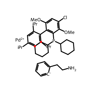 COc1cc(Cl)c(OC)c(P(C2CCCCC2)C2CCCCC2)c1-c1c(C(C)C)cc(C(C)C)cc1C(C)C.NCCc1[c-]cccc1.[Pd+2]